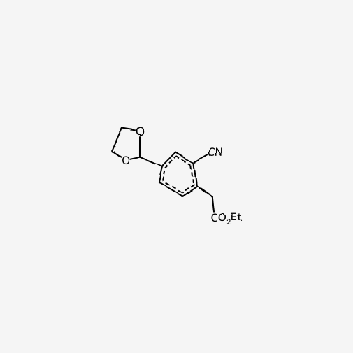 CCOC(=O)Cc1ccc(C2OCCO2)cc1C#N